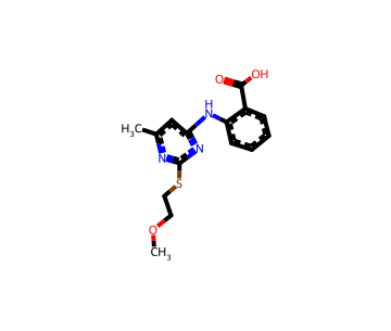 COCCSc1nc(C)cc(Nc2ccccc2C(=O)O)n1